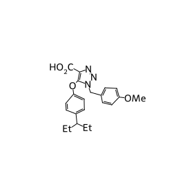 CCC(CC)c1ccc(Oc2c(C(=O)O)nnn2Cc2ccc(OC)cc2)cc1